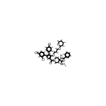 NC(=O)C1(NCc2ccccc2)CCN(C(=O)c2sc(-c3ccc(Cl)cc3Cl)c(-c3ccc(Cl)cc3)c2OCCCOC2CCCCO2)CC1